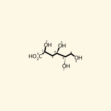 O=C(O)[C@@H](O)C[C@@H](O)[C@@H](O)CO